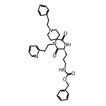 O=C(NCCC[C@@H]1NC(=O)C2(CCN(CCc3ccccc3)CC2)N(CCc2ccccn2)C1=O)OCc1ccccc1